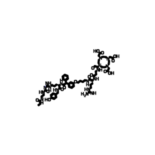 CCC(=O)NCCNC(=O)/N=C(/N)NCCC[C@@H](NC(=O)C(c1ccccc1)c1cccc(OCCCCNC(=O)[C@@H](CCCNC(=N)N)NC(=O)CCNC(C=O)N2CCN(CC(=O)O)CCN(CC(=O)O)CCN(CC(=O)O)CC2)c1)C(=O)NCc1ccc(O)cc1